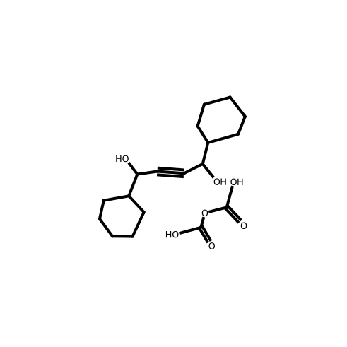 O=C(O)OC(=O)O.OC(C#CC(O)C1CCCCC1)C1CCCCC1